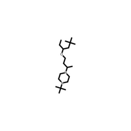 CCC(CC(C)(C)C)OCCC(C)N1CCN(C(C)(C)C)CC1